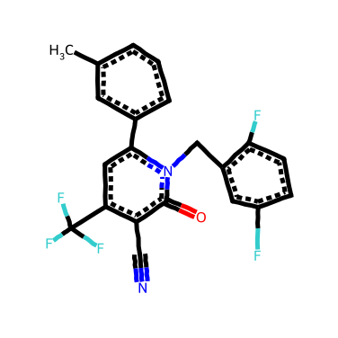 Cc1cccc(-c2cc(C(F)(F)F)c(C#N)c(=O)n2Cc2cc(F)ccc2F)c1